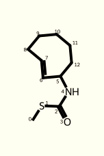 CSC(=O)NC1/C=C/CCCCC1